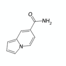 NC(=O)c1ccn2cccc2c1